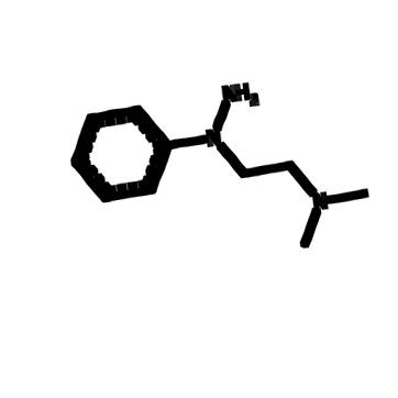 CN(C)CCN(N)c1ccccc1